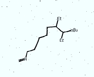 C=NCCCCCC(CC)C(CC)CCCC